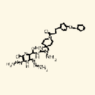 NN=NC1=C(Cl)N=C(C(=O)NC2NC3(CCN(C(=O)CCc4ccc(OCc5ccccc5)cc4)CC3)CN2N)C(N=NN)N1